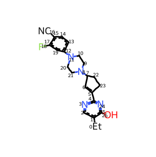 CCc1cnc(C2=CC(N3CCN(c4ccc(C#N)c(F)c4)CC3)CC2)nc1O